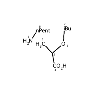 CCC(C)OC(C)C(=O)O.CCCCCN